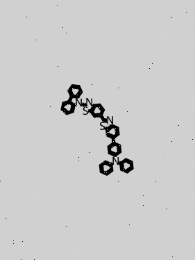 c1ccc(N(c2ccccc2)c2ccc(-c3ccc4nc(-c5ccc6nc(-n7c8ccccc8c8ccccc87)sc6c5)sc4c3)cc2)cc1